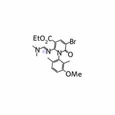 CCOC(=O)c1cc(Br)c(=O)n(-c2c(C)ccc(OC)c2C)c1/N=C/N(C)C